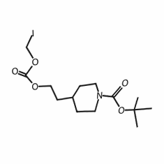 CC(C)(C)OC(=O)N1CCC(CCOC(=O)OCI)CC1